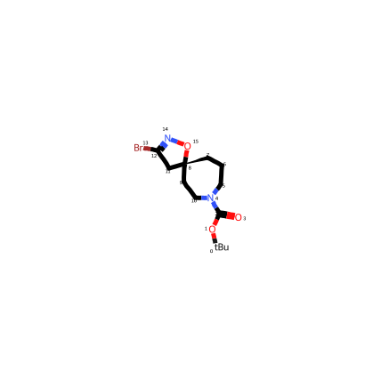 CC(C)(C)OC(=O)N1CCC[C@@]2(CC1)CC(Br)=NO2